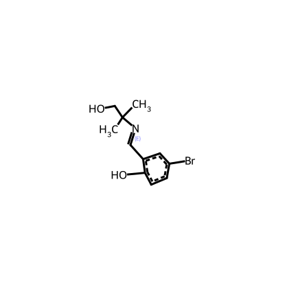 CC(C)(CO)/N=C/c1cc(Br)ccc1O